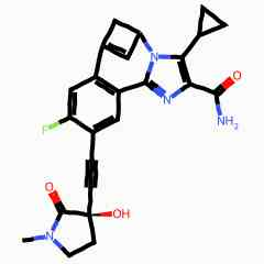 CN1CC[C@@](O)(C#Cc2cc3c(cc2F)C2=CC(C2)n2c-3nc(C(N)=O)c2C2CC2)C1=O